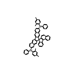 Cc1ccc(N(c2ccccc2)c2ccc3cc4c(cc3c2)C2(c3cc5cc(N(c6ccccc6)c6ccc(C)cc6C)ccc5cc3-4)c3ccccc3-c3c2ccc2ccccc32)c(C)c1